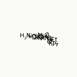 CCCOC(CC)ONC(=O)c1cnc(N2CCC(CN)CC2)nc1